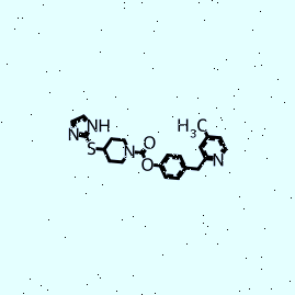 Cc1ccnc(Cc2ccc(OC(=O)N3CCC(Sc4ncc[nH]4)CC3)cc2)c1